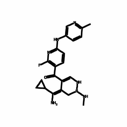 CNN1C/C(=C(\N)C2CC2)C(C(=O)c2ccc(Nc3ccc(C)nc3)nc2F)=CN1